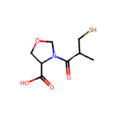 CC(CS)C(=O)N1COCC1C(=O)O